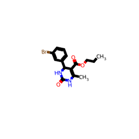 CCCOC(=O)C1=C(C)NC(=O)NC1c1cccc(Br)c1